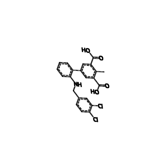 Cc1c(C(=O)O)cc(-c2ccccc2NCc2ccc(Cl)c(Cl)c2)cc1C(=O)O